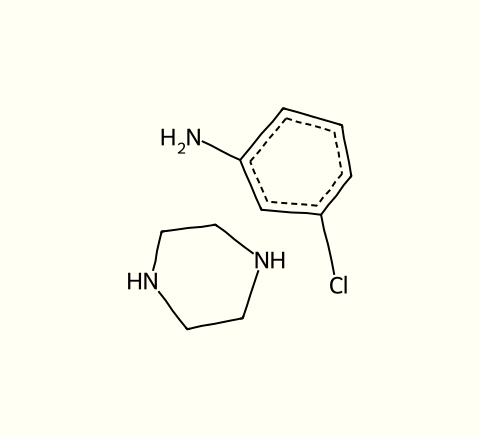 C1CNCCN1.Nc1cccc(Cl)c1